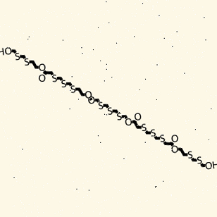 O=C(CSCSCSCCOOCSCSCSCOC(=O)CSCSCSCC(=O)OCCSCSCO)OCCSCSCO